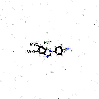 COc1cc2ncc(-c3ccc(N)cc3)nc2cc1OC.Cl